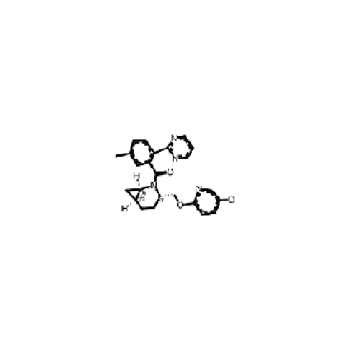 Cc1ccc(-c2ncccn2)c(C(=O)N2[C@H](COc3ccc(Cl)cn3)CC[C@H]3C[C@H]32)c1